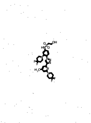 Cc1cc(-c2cn(-c3ccc(NS(=O)(=O)CCO)cc3N3CCC(F)(F)CC3)nn2)nc(N2CCC(F)(F)CC2)c1